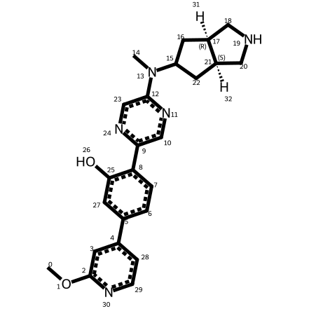 COc1cc(-c2ccc(-c3cnc(N(C)C4C[C@H]5CNC[C@H]5C4)cn3)c(O)c2)ccn1